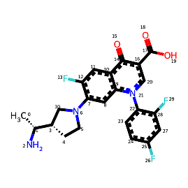 C[C@@H](N)[C@H]1CCN(c2cc3c(cc2F)c(=O)c(C(=O)O)cn3-c2ccc(F)cc2F)C1